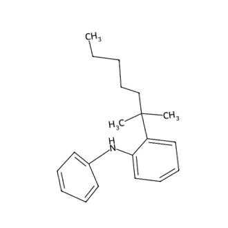 CCCCCC(C)(C)c1ccccc1Nc1ccccc1